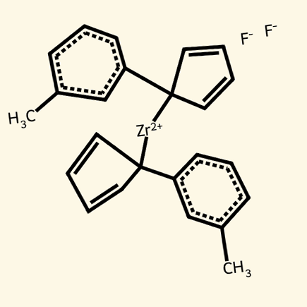 Cc1cccc([C]2([Zr+2][C]3(c4cccc(C)c4)C=CC=C3)C=CC=C2)c1.[F-].[F-]